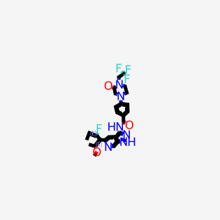 C/C=C(F)\C(=C(/C)OC)c1cc2c(NC(=O)c3ccc(N4CCN(CC(F)(F)F)C(=O)C4)cc3)n[nH]c2cn1